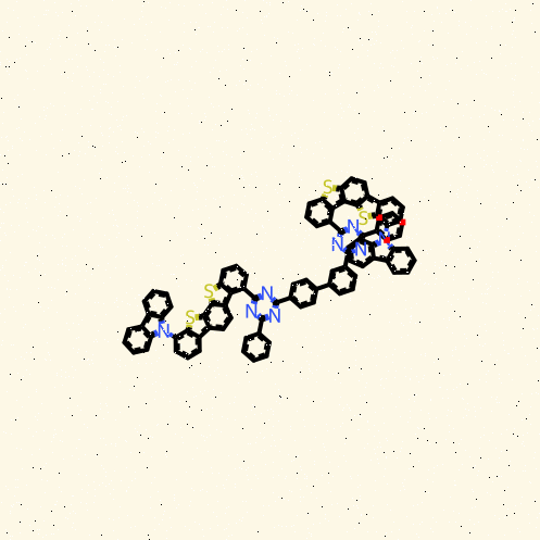 c1ccc(-c2nc(-c3ccc(-c4cccc(-c5nc(-c6ccccc6)nc(-c6cccc7sc8ccc9c%10cccc(-n%11c%12ccccc%12c%12ccccc%12%11)c%10sc9c8c67)n5)c4)cc3)nc(-c3cccc4sc5c(ccc6c7cccc(-n8c9ccccc9c9ccccc98)c7sc65)c34)n2)cc1